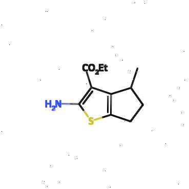 CCOC(=O)c1c(N)sc2c1C(C)CC2